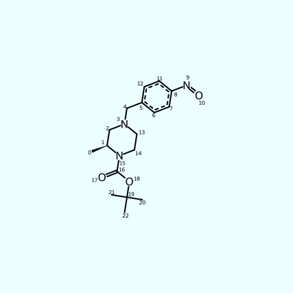 C[C@H]1CN(Cc2ccc(N=O)cc2)CCN1C(=O)OC(C)(C)C